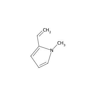 C=Cc1cccn1C